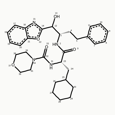 O=C(N[C@@H](CCc1ccccc1)C(O)c1nc2ccccc2o1)[C@H](CC1CCCCC1)NC(=O)N1CCOCC1